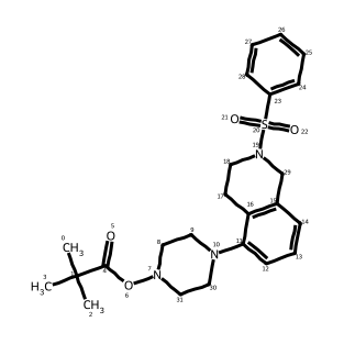 CC(C)(C)C(=O)ON1CCN(c2cccc3c2CCN(S(=O)(=O)c2ccccc2)C3)CC1